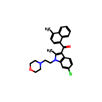 Cc1ccc(C(=O)c2c(C)n(CCN3CCOCC3)c3cc(Cl)ccc23)c2ccccc12